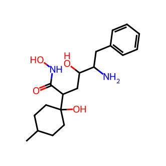 CC1CCC(O)(C(CC(O)C(N)Cc2ccccc2)C(=O)NO)CC1